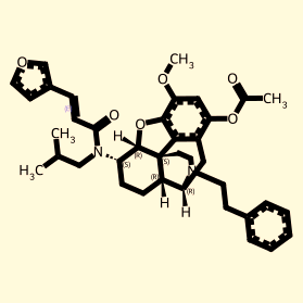 COc1cc(OC(C)=O)c2c3c1O[C@H]1[C@@H](N(CC(C)C)C(=O)/C=C/c4ccoc4)CC[C@H]4[C@@H](C2)N(CCc2ccccc2)CC[C@@]341